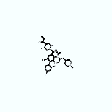 C=CC(=O)C1C[C@H](C)N(c2nc(=O)n3c4c(c(-c5ccc(F)cc5F)c(Cl)cc24)OC[C@H]3CC2CCN(C)CC2)C[C@H]1C